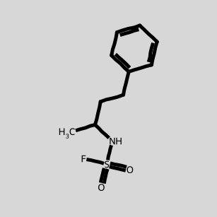 CC(CCc1ccccc1)NS(=O)(=O)F